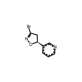 BrC1=NO[C@H](c2cccnc2)C1